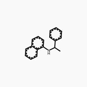 CC(Nc1cccc2ccccc12)c1ccccc1